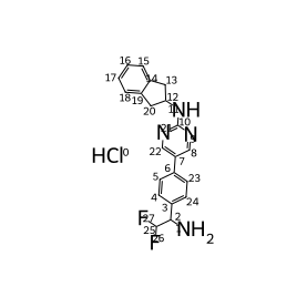 Cl.NC(c1ccc(-c2cnc(NC3Cc4ccccc4C3)nc2)cc1)C(F)F